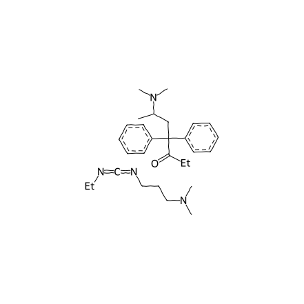 CCC(=O)C(CC(C)N(C)C)(c1ccccc1)c1ccccc1.CCN=C=NCCCN(C)C